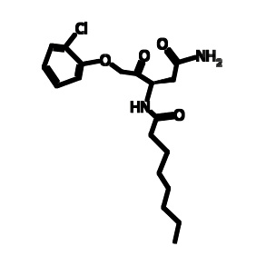 CCCCCCCC(=O)N[C@H](CC(N)=O)C(=O)COc1ccccc1Cl